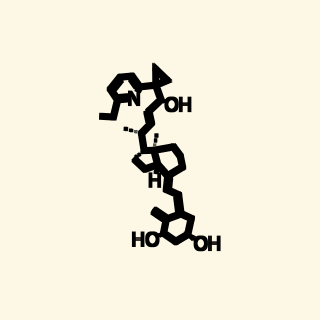 C=C1/C(=C\C=C2/CCC[C@]3(C)[C@@H]([C@H](C)/C=C/[C@@H](O)C4(c5cccc(CC)n5)CC4)CC[C@@H]23)C[C@@H](O)C[C@@H]1O